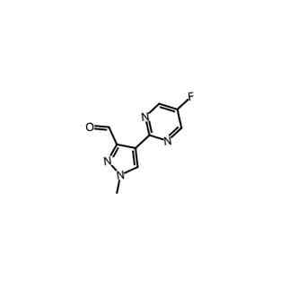 Cn1cc(-c2ncc(F)cn2)c(C=O)n1